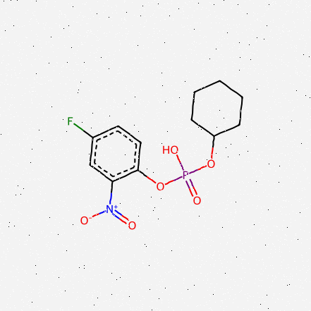 O=[N+]([O-])c1cc(F)ccc1OP(=O)(O)OC1CCCCC1